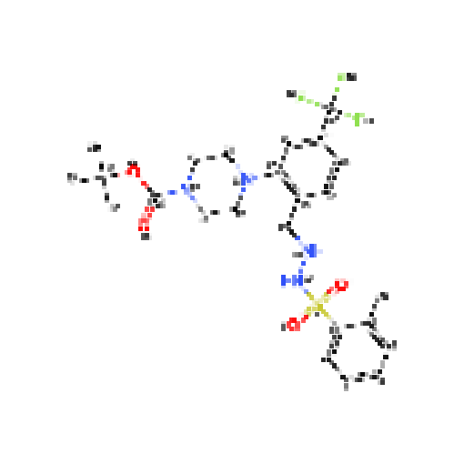 Cc1ccccc1S(=O)(=O)NNCc1ccc(C(F)(F)F)cc1N1CCN(C(=O)OC(C)(C)C)CC1